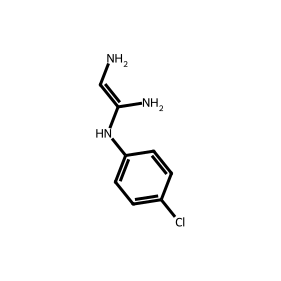 N/C=C(\N)Nc1ccc(Cl)cc1